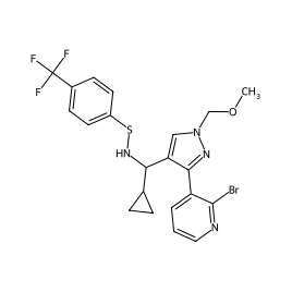 COCn1cc(C(NSc2ccc(C(F)(F)F)cc2)C2CC2)c(-c2cccnc2Br)n1